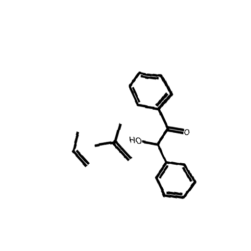 C=C(C)C.C=CC.O=C(c1ccccc1)C(O)c1ccccc1